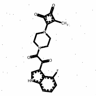 Cc1c(N2CCN(C(=O)C(=O)c3c[nH]c4cccc(F)c34)CC2)c(=O)c1=O